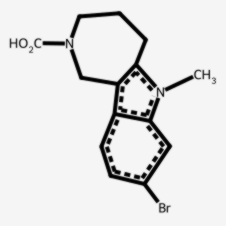 Cn1c2c(c3ccc(Br)cc31)CN(C(=O)O)CCC2